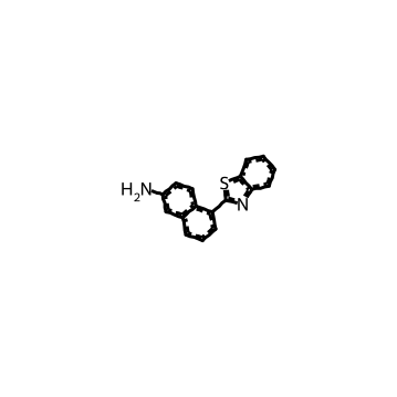 Nc1ccc2c(-c3nc4ccccc4s3)cccc2c1